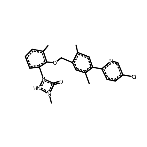 Cc1cc(-c2ccc(Cl)cn2)c(C)cc1COc1c(C)cccc1-n1[nH]n(C)c1=O